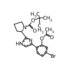 CC(=O)Oc1cc(Br)ccc1-c1c[nH]c(C2CCCN2C(=O)OC(C)(C)C)n1